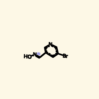 O/N=C/c1cncc(Br)c1